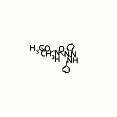 CC(C)OCCNC(=O)Cn1c(NCc2ccccc2)nc2ccccc21